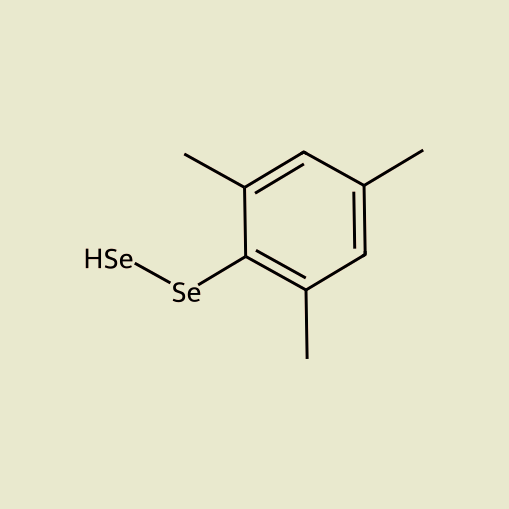 Cc1cc(C)c([Se][SeH])c(C)c1